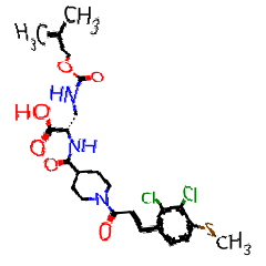 CSc1ccc(C=CC(=O)N2CCC(C(=O)N[C@@H](CNC(=O)OCC(C)C)C(=O)O)CC2)c(Cl)c1Cl